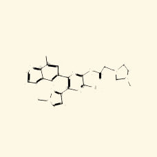 CN1CCN(CC(=O)Nc2nc(-c3cc(Cl)c4ncccc4c3)c(-c3ccn(C)n3)nc2N)C1